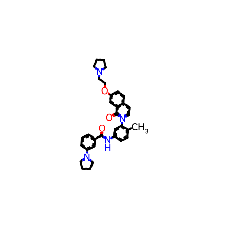 Cc1ccc(NC(=O)c2cccc(N3CCCC3)c2)cc1-n1ccc2ccc(OCCN3CCCC3)cc2c1=O